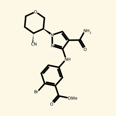 COC(=O)c1cc(Nc2nn([C@@H]3COCC[C@H]3C#N)cc2C(N)=O)ccc1Br